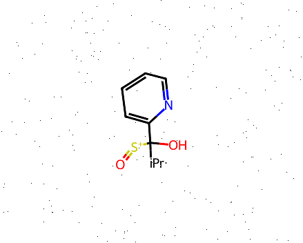 C[C](C)C(O)([S+]=O)c1ccccn1